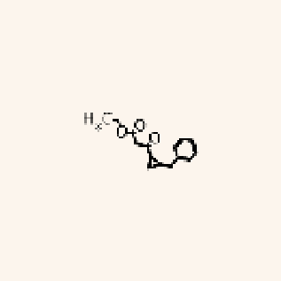 CCOC(=O)CC(=O)C1CC1Cc1ccccc1